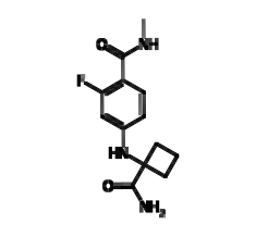 CNC(=O)c1ccc(NC2(C(N)=O)CCC2)cc1F